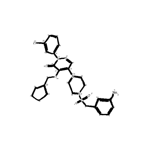 Nc1cccc(CS(=O)(=O)N2CCN(c3cnn(-c4cccc(Cl)c4)c(=O)c3OCC3CCCC3)CC2)c1